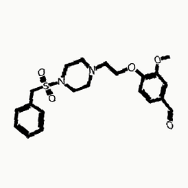 COc1cc(C=O)ccc1OCCN1CCN(S(=O)(=O)Cc2ccccc2)CC1